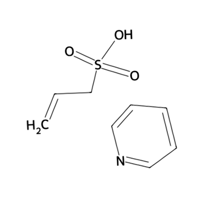 C=CCS(=O)(=O)O.c1ccncc1